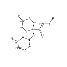 CC(C)CNC(=O)C1(CN2CCNC(C)C2)CCN(C)CC1